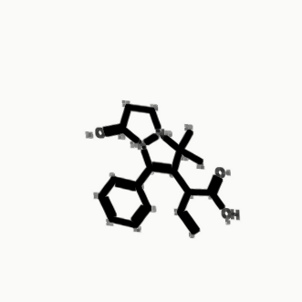 C=CC(C(=O)O)C1=C(c2ccccc2)N2C(=O)CCN2C1(C)C